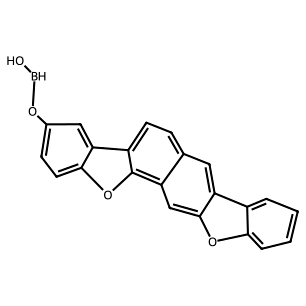 OBOc1ccc2oc3c4cc5oc6ccccc6c5cc4ccc3c2c1